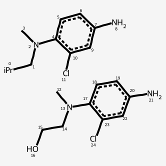 CC(C)CN(C)c1ccc(N)cc1Cl.CN(CCO)c1ccc(N)cc1Cl